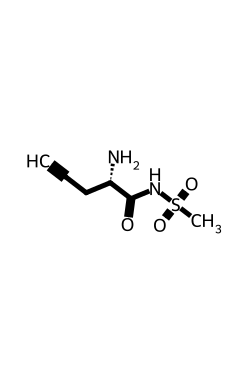 C#CC[C@H](N)C(=O)NS(C)(=O)=O